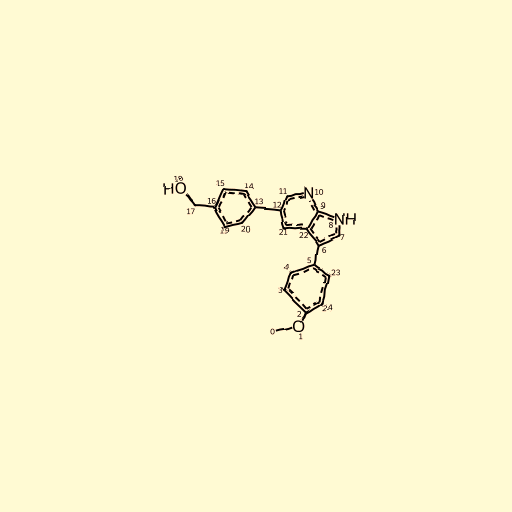 COc1ccc(-c2c[nH]c3ncc(-c4ccc(CO)cc4)cc23)cc1